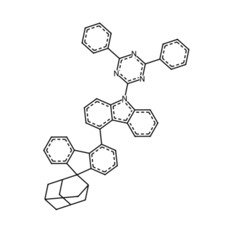 c1ccc(-c2nc(-c3ccccc3)nc(-n3c4ccccc4c4c(-c5cccc6c5-c5ccccc5C65C6CC7CC(C6)CC5C7)cccc43)n2)cc1